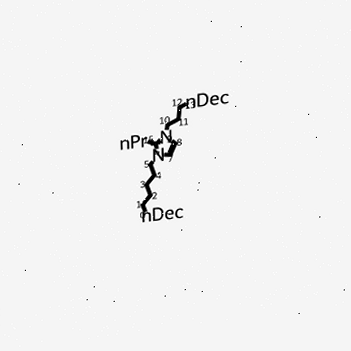 CCCCCCCCCCCCCCCN1C=CN(CCCCCCCCCCCCC)C1CCC